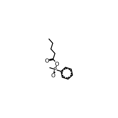 CCCCC(=O)OP(C)(=O)c1ccccc1